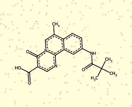 Cc1cn2c(=O)c(C(=O)O)cnc2c2cc(NC(=O)C(C)(C)C)ccc12